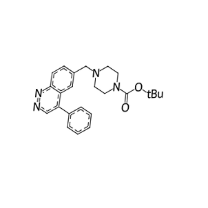 CC(C)(C)OC(=O)N1CCN(Cc2ccc3nncc(-c4ccccc4)c3c2)CC1